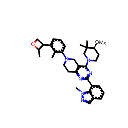 CO[C@H]1CCN(c2nc(-c3cccc4cnn(C)c34)nc3c2CN(c2cccc(C4COC4C)c2C)CC3)CC1(C)C